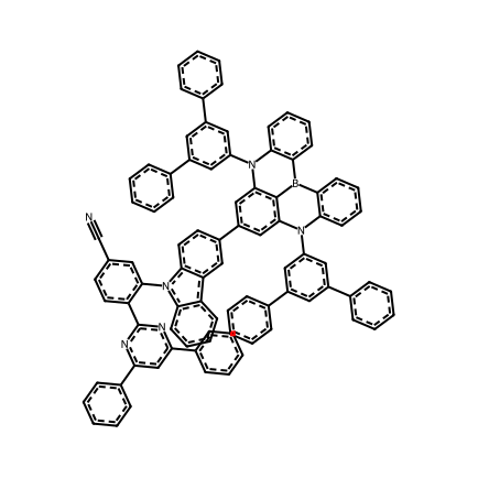 N#Cc1ccc(-c2nc(-c3ccccc3)cc(-c3ccccc3)n2)c(-n2c3ccccc3c3cc(-c4cc5c6c(c4)N(c4cc(-c7ccccc7)cc(-c7ccccc7)c4)c4ccccc4B6c4ccccc4N5c4cc(-c5ccccc5)cc(-c5ccccc5)c4)ccc32)c1